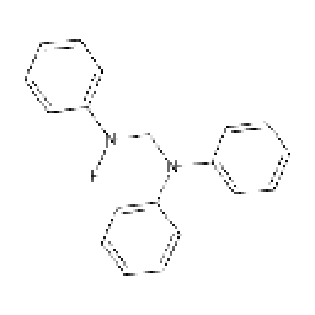 FN(CN(c1ccccc1)c1ccccc1)c1ccccc1